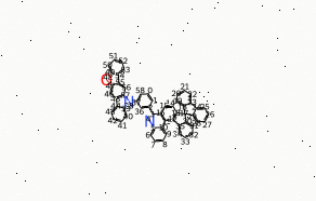 c1cc(-c2nc3ccccc3c3c4c(ccc23)C2(c3ccccc3-c3ccccc32)c2ccccc2-4)cc(-n2c3ccccc3c3cc4oc5ccccc5c4cc32)c1